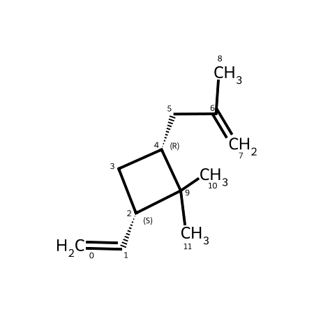 C=C[C@@H]1C[C@H](CC(=C)C)C1(C)C